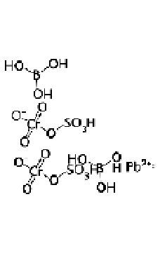 O=S(=O)(O)[O][Cr](=[O])(=[O])[O-].O=S(=O)(O)[O][Cr](=[O])(=[O])[O-].OB(O)O.OB(O)O.[Pb+2]